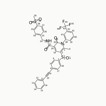 Cc1c([S+]([O-])c2ccc(C#Cc3ccccc3)cc2)cc(C(=O)NCc2ccc(S(C)(=O)=O)cc2)c(=O)n1-c1cccc(C(F)(F)F)c1